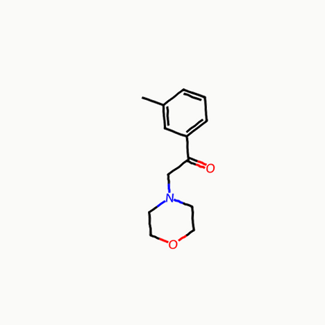 Cc1cccc(C(=O)CN2CCOCC2)c1